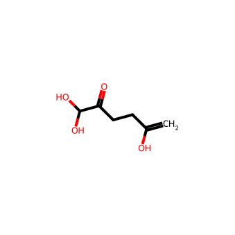 C=C(O)CCC(=O)C(O)O